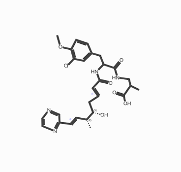 COc1ccc(CC(NC(=O)/C=C/C[C@H](O)[C@H](C)/C=C/c2cnccn2)C(=O)NCC(C)C(=O)O)cc1Cl